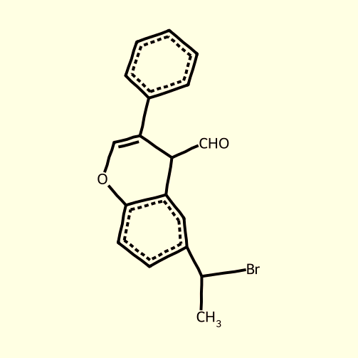 CC(Br)c1ccc2c(c1)C(C=O)C(c1ccccc1)=CO2